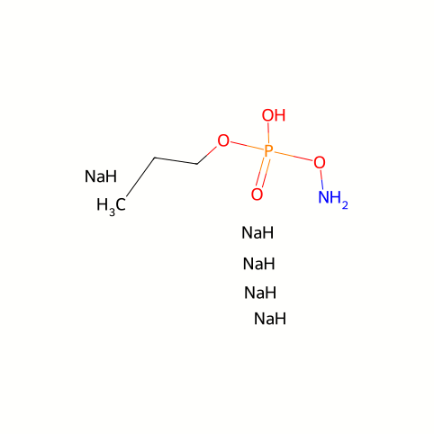 CCCOP(=O)(O)ON.[NaH].[NaH].[NaH].[NaH].[NaH]